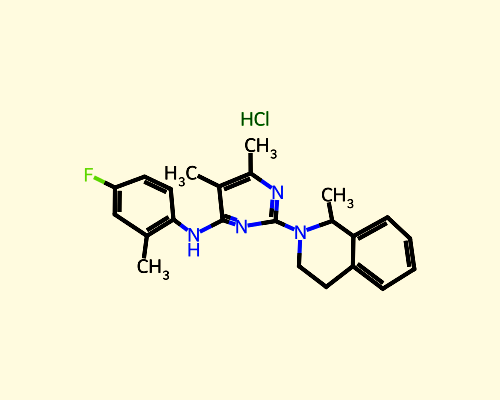 Cc1cc(F)ccc1Nc1nc(N2CCc3ccccc3C2C)nc(C)c1C.Cl